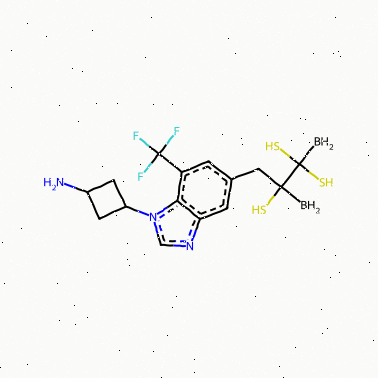 BC(S)(S)C(B)(S)Cc1cc(C(F)(F)F)c2c(c1)ncn2C1CC(N)C1